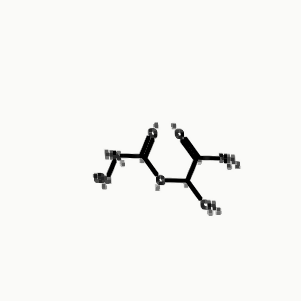 CC(OC(=O)NC(C)(C)C)C(N)=O